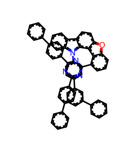 c1ccc(-c2ccc(-c3nc(-c4ccc(-c5ccccc5)cc4)nc(-c4cccc5oc6ccc7c8ccccc8n(-c8ccc(-c9cccc(-c%10ccccc%10)c9)cc8)c7c6c45)n3)cc2)cc1